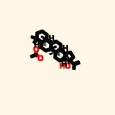 C=C(C)[C@@]1(O)CC[C@@]2(C)[C@H]1CC[C@]1(C)[C@@H]2CC[C@@H]2[C@@]3(C)CCCC(C)(C)[C@@H]3[C@@H](OC(C)=O)C[C@]21C